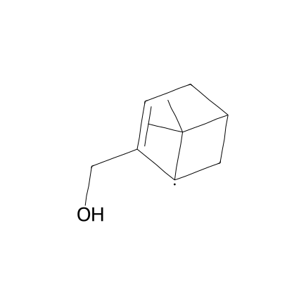 CC1(C)[C]2CC1CC=C2CO